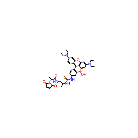 CCN(CC)c1ccc2c(c1)OC1=CC(N(CC)CC)C=CC1=C2c1ccc(NC(=S)NC(C)CNC(=O)C(C)N2C(=O)C=CC2=O)cc1C(=O)O